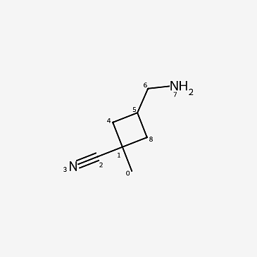 CC1(C#N)CC(CN)C1